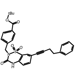 CC(C)(C)OC(=O)c1ccc(CN2C(=O)Nc3ccc(C#CCCc4ccccc4)cc3S2(=O)=O)cc1